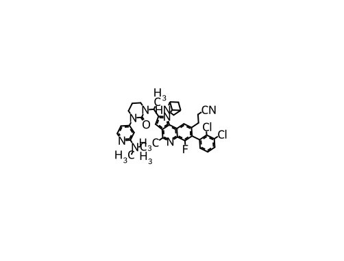 Cc1nc2c(F)c(-c3cccc(Cl)c3Cl)c(CCC#N)cc2c2c1cc(C(C)N1CCCN(c3ccnc(N(C)C)c3)C1=O)n2C1C2CNC1C2